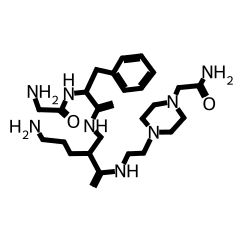 C=C(NCCN1CCN(CC(N)=O)CC1)C(CCCN)CNC(=C)C(Cc1ccccc1)NC(=O)CN